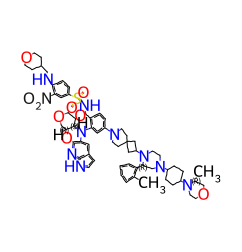 Cc1ccccc1[C@@H]1CN(C2CCC(N3CCOC[C@H]3C)CC2)CCN1C1CC2(CCN(c3ccc(C(=O)NS(=O)(=O)c4ccc(NCC5CCOCC5)c([N+](=O)[O-])c4)c(N4c5cc6cc[nH]c6nc5O[C@H]5COCC[C@@H]54)c3)CC2)C1